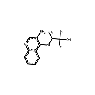 CCC(O)(CC)C(C)Nc1c(N)cnc2ccccc12